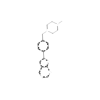 CN1CCN(Cc2ccc(-c3cc4[c]ncnc4[nH]3)cc2)CC1